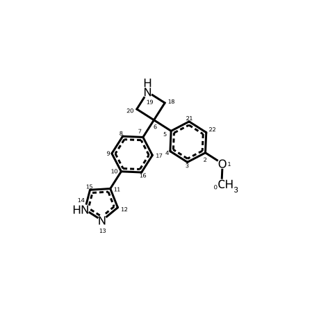 COc1ccc(C2(c3ccc(-c4cn[nH]c4)cc3)CNC2)cc1